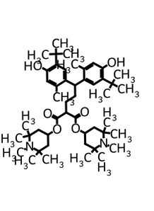 Cc1cc(O)c(C(C)(C)C)cc1C(CCC(C(=O)OC1CC(C)(C)N(C)C(C)(C)C1)C(=O)OC1CC(C)(C)N(C)C(C)(C)C1)c1cc(C(C)(C)C)c(O)cc1C